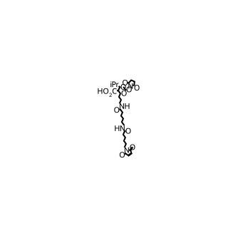 CC(C)C(OC(=O)ON1C(=O)CCC1=O)C(CCCCNC(=O)CCCCCNC(=O)CCCCCN1C(=O)C=CC1=O)C(=O)O